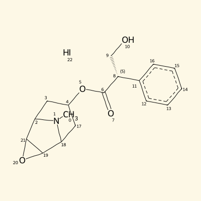 CN1C2CC(OC(=O)[C@H](CO)c3ccccc3)CC1C1OC12.I